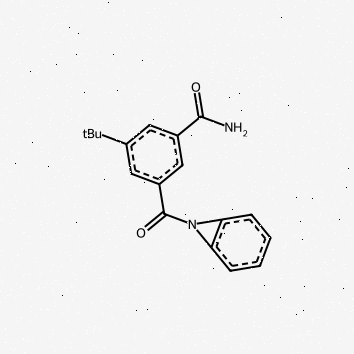 CC(C)(C)c1cc(C(N)=O)cc(C(=O)N2c3ccccc32)c1